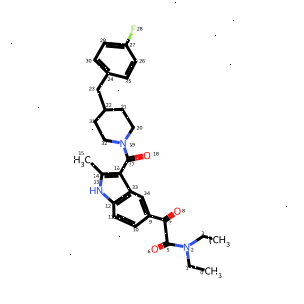 CCN(CC)C(=O)C(=O)c1ccc2[nH]c(C)c(C(=O)N3CCC(Cc4ccc(F)cc4)CC3)c2c1